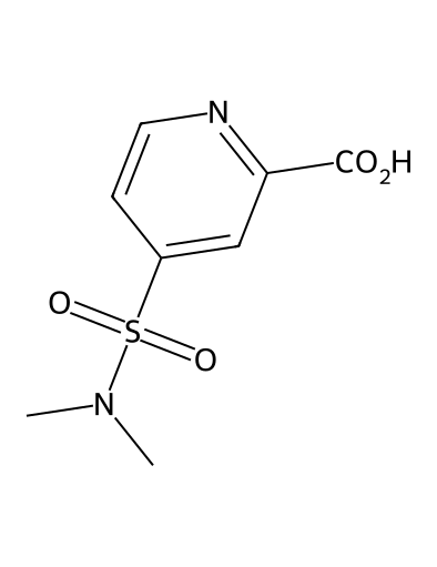 CN(C)S(=O)(=O)c1ccnc(C(=O)O)c1